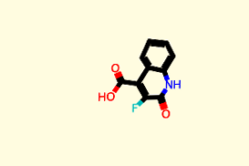 O=C(O)c1c(F)c(=O)[nH]c2ccccc12